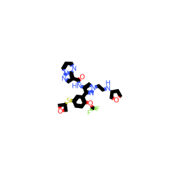 O=C(Nc1cn(CCN[C@@H]2CCOC2)nc1-c1cc(SC2COC2)ccc1OC(F)F)c1cnn2cccnc12